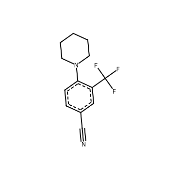 N#Cc1ccc(N2CCCCC2)c(C(F)(F)F)c1